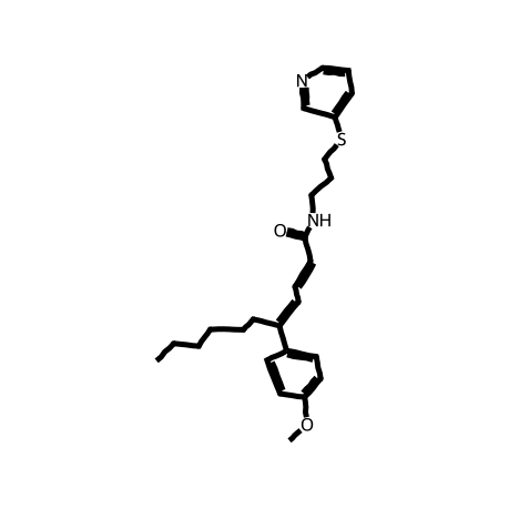 CCCCCC/C(=C\C=C\C(=O)NCCCSc1cccnc1)c1ccc(OC)cc1